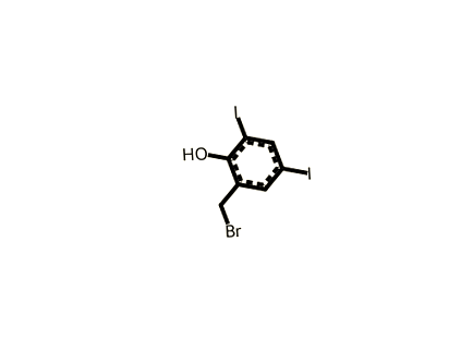 Oc1c(I)cc(I)cc1CBr